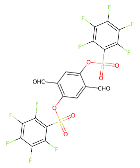 O=Cc1cc(OS(=O)(=O)c2c(F)c(F)c(F)c(F)c2F)c(C=O)cc1OS(=O)(=O)c1c(F)c(F)c(F)c(F)c1F